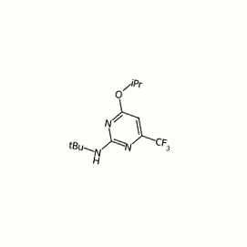 CC(C)Oc1cc(C(F)(F)F)nc(NC(C)(C)C)n1